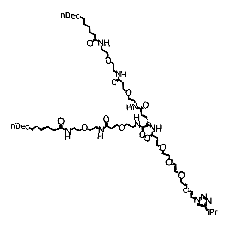 CCCCCCCCCCCCCCCC(=O)NCCOCCNC(=O)CCOCCNC(=O)CC[C@H](NC(=O)CCOCCOCCOCCOCCn1cc(C(C)C)nn1)C(=O)NCCOCCC(=O)NCCOCCNC(=O)CCCCCCCCCCCCCCC